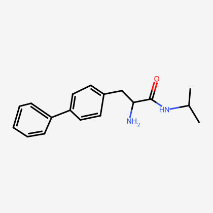 CC(C)NC(=O)C(N)Cc1ccc(-c2ccccc2)cc1